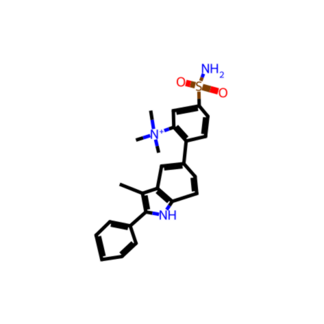 Cc1c(-c2ccccc2)[nH]c2ccc(-c3ccc(S(N)(=O)=O)cc3[N+](C)(C)C)cc12